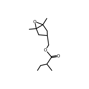 CCC(C)C(=O)OCC1CC2(C)OC2(C)C1